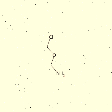 NCOCCl